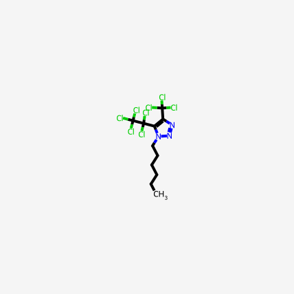 CCCCCCn1nnc(C(Cl)(Cl)Cl)c1C(Cl)(Cl)C(Cl)(Cl)Cl